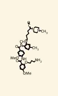 COc1ccc(C(=O)Nc2ccc(C(=O)N(C)c3ccc(C)cc3OCCCCC(=C=O)N3CCN(C)CC3)cc2OC)c(OCCCN)c1